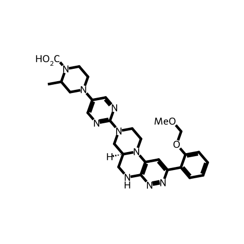 COCOc1ccccc1-c1cc2c(nn1)NC[C@H]1CN(c3ncc(N4CCN(C(=O)O)C(C)C4)cn3)CCN21